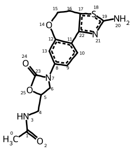 CC(=O)NCC1CN(c2ccc3c(c2)OCCc2sc(N)nc2-3)C(=O)O1